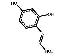 O=[N+]([O-])N=Nc1ccc(O)cc1O